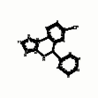 Clc1ccc2c(c1)C(c1ccccc1)Sc1nnnn1-2